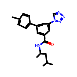 Cc1ccc(-c2cc(C(=O)NC(C)CC(C)C)cc(-n3cnnn3)c2)cc1